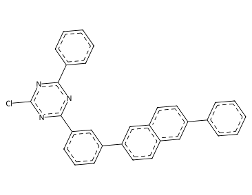 Clc1nc(-c2ccccc2)nc(-c2cccc(-c3ccc4cc(-c5ccccc5)ccc4c3)c2)n1